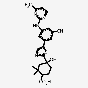 CC1(C)CC(O)(c2ncc(-c3cc(C#N)cc(Nc4nccc(C(F)(F)F)n4)c3)s2)CCC1C(=O)O